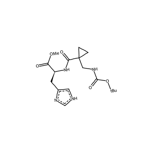 COC(=O)[C@H](Cc1c[nH]cn1)NC(=O)C1(CNC(=O)OC(C)(C)C)CC1